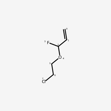 C=CC(F)OCCCl